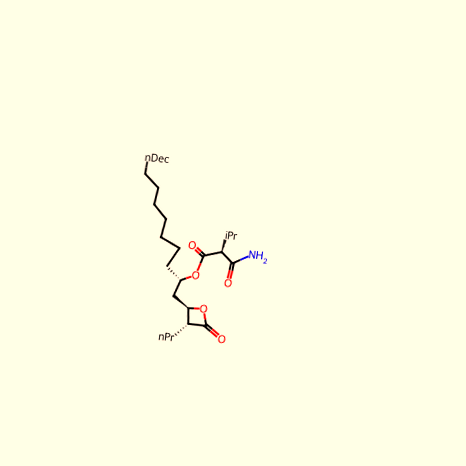 CCCCCCCCCCCCCCCCC[C@@H](C[C@H]1OC(=O)[C@@H]1CCC)OC(=O)[C@H](C(N)=O)C(C)C